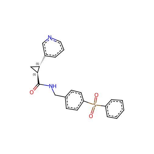 O=C(NCc1ccc(S(=O)(=O)c2ccccc2)cc1)[C@H]1C[C@@H]1c1cccnc1